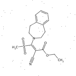 CCOC(=O)/C(C#N)=C(\N1CCc2ccccc2CC1)S(C)(=O)=O